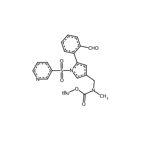 CN(Cc1cc(-c2ccccc2C=O)n(S(=O)(=O)c2cccnc2)c1)C(=O)OC(C)(C)C